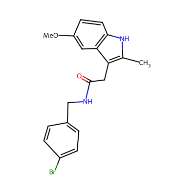 COc1ccc2[nH]c(C)c(CC(=O)NCc3ccc(Br)cc3)c2c1